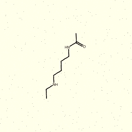 CCNCCCCNC(C)=O